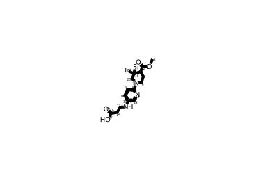 COC(=O)C1CCN(c2ccc(NCCC(=O)O)cn2)CC1(F)F